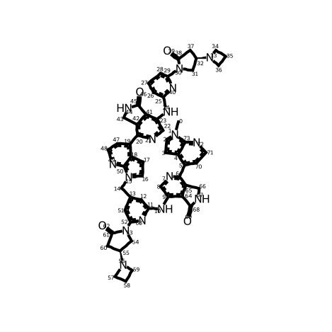 Cn1ccc2c(-c3ncc(Nc4cc(Cn5ccc6c(-c7ncc(Nc8cccc(N9C[C@H](N%10CCC%10)CC9=O)n8)c8c7CNC8=O)ccnc65)cc(N5C[C@@H](N6CCC6)CC5=O)n4)c4c3CNC4=O)ccnc21